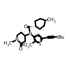 CN1CCC(N(c2cc(C#CC(C)(C)C)sc2C(=O)O)C(=O)[C@H]2CC[C@H](C)CC2)CC1=O